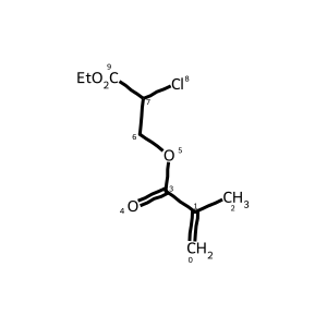 C=C(C)C(=O)OCC(Cl)C(=O)OCC